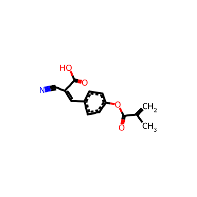 C=C(C)C(=O)Oc1ccc(/C=C(/C#N)C(=O)O)cc1